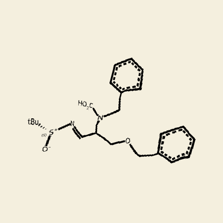 CC(C)(C)[S@@+]([O-])N=CC(COCc1ccccc1)N(Cc1ccccc1)C(=O)O